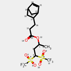 CC(CC(S(=O)(=O)C(F)(F)F)S(=O)(=O)C(F)(F)F)OC(=O)CCC1CC2C=CC1C2